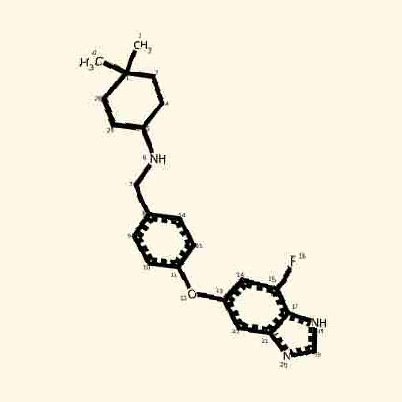 CC1(C)CCC(NCc2ccc(Oc3cc(F)c4[nH]cnc4c3)cc2)CC1